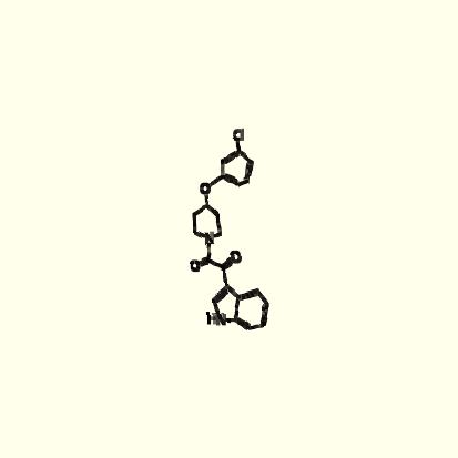 O=C(C(=O)N1CCC(Oc2cccc(Cl)c2)CC1)c1c[nH]c2ccccc12